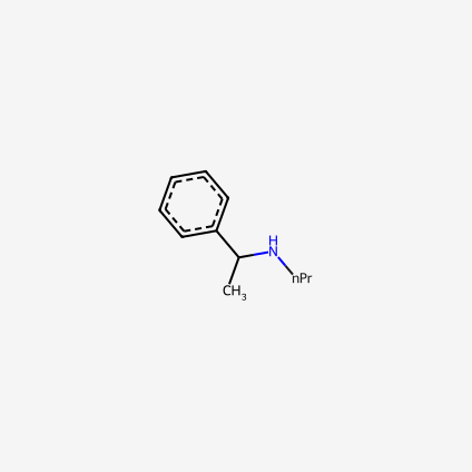 [CH2]CCNC(C)c1ccccc1